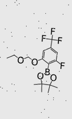 CCOCOc1cc(C(F)(F)F)cc(F)c1B1OC(C)(C)C(C)(C)O1